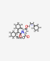 COC(=O)C1C[C@H](OC/C=C\c2ccccc2)CN1C(=O)C(c1ccccc1)c1ccccc1